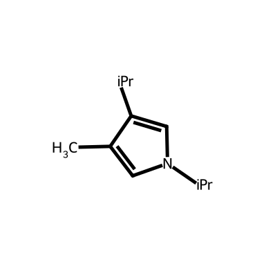 Cc1cn(C(C)C)cc1C(C)C